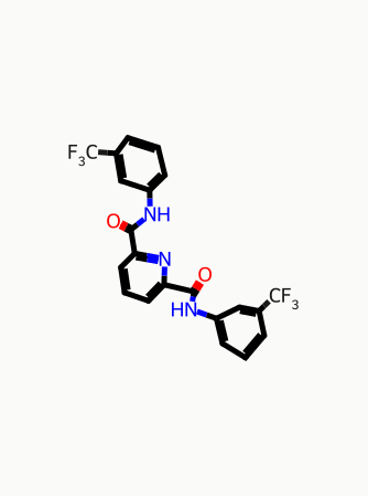 O=C(Nc1cccc(C(F)(F)F)c1)c1cccc(C(=O)Nc2cccc(C(F)(F)F)c2)n1